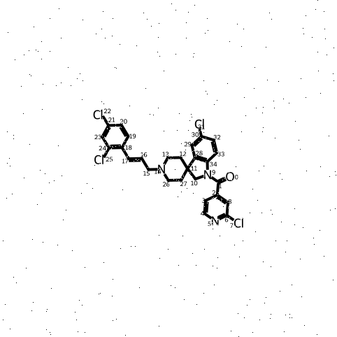 O=C(c1ccnc(Cl)c1)N1CC2(CCN(C/C=C/c3ccc(Cl)cc3Cl)CC2)c2cc(Cl)ccc21